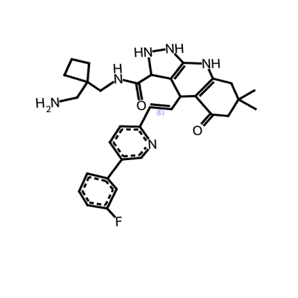 CC1(C)CC(=O)C2=C(C1)NC1=C(C2/C=C/c2ccc(-c3cccc(F)c3)cn2)C(C(=O)NCC2(CN)CCC2)NN1